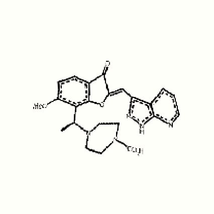 COc1ccc2c(c1C(C)N1CCN(C(=O)O)CC1)OC(=Cc1n[nH]c3ncccc13)C2=O